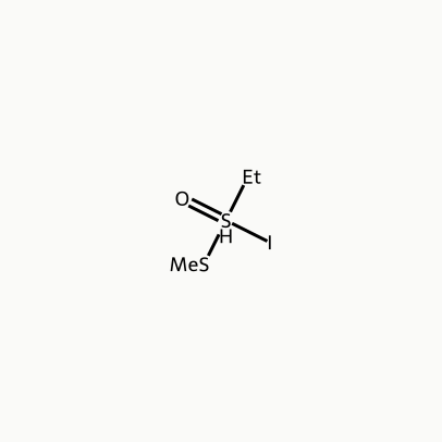 CC[SH](=O)(I)SC